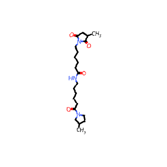 CC1CCN(C(=O)CCCCCNC(=O)CCCCCN2C(=O)CC(C)C2=O)C1